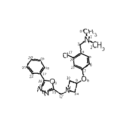 CN(C)Cc1ccc(OC2CN([C]c3nnc(-c4ccccc4)o3)C2)cc1Cl